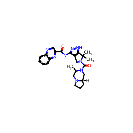 CC1CN2CCC[C@H]2CN1C(=O)N1Cc2c(NC(=O)c3cnc4ccccc4n3)n[nH]c2C1(C)C